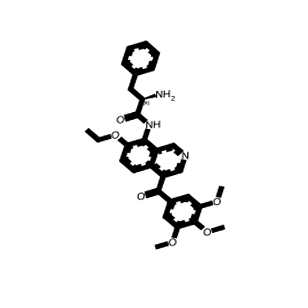 CCOc1ccc2c(C(=O)c3cc(OC)c(OC)c(OC)c3)cncc2c1NC(=O)[C@H](N)Cc1ccccc1